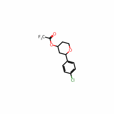 O=C(OC1CCOC(c2ccc(Cl)cc2)C1)C(F)(F)F